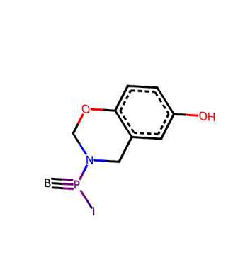 B#P(I)N1COc2ccc(O)cc2C1